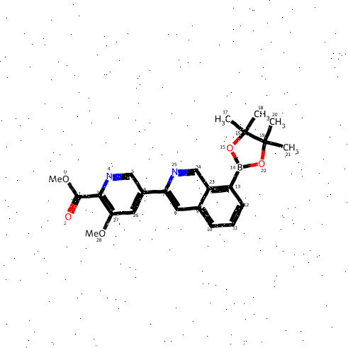 COC(=O)c1ncc(-c2cc3cccc(B4OC(C)(C)C(C)(C)O4)c3cn2)cc1OC